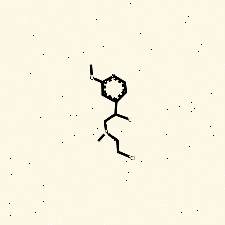 COc1cccc(C(Cl)CN(C)CCCl)c1